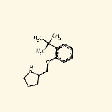 CC(C)(C)c1ccccc1OCC1CCCN1